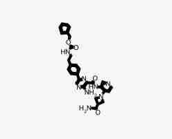 NC(=O)C1CN(c2ccncc2NC(=O)c2nc(-c3ccc(CCNC(=O)OCc4ccccc4)cc3)cnc2N)C1